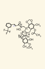 COc1c(C)cc2c(c1O)[C@@H]1[C@@H]3Cc4c(OC(C)=O)c(C)c5c(c4[C@H](CNC(=O)/C=C/c4cccc(C(F)(F)F)c4)C3[C@@H](O)[C@H](C2)N1C)OCO5